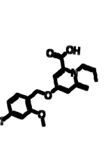 C=C1C=C(OCc2ccc(Cl)cc2OC)C=C(C(=O)O)N1/C=C\C